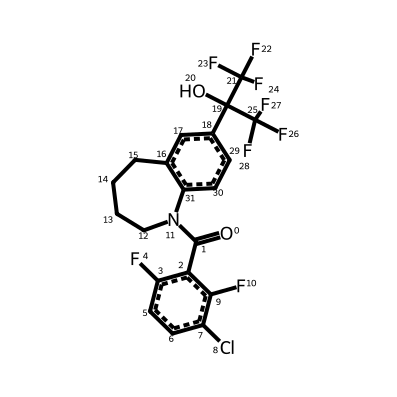 O=C(c1c(F)ccc(Cl)c1F)N1CCCCc2cc(C(O)(C(F)(F)F)C(F)(F)F)ccc21